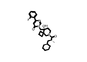 C[C@H](CC1CCCCC1)C(=O)N1CC[C@](O)(Cn2cnc(-c3ccccc3F)cc2=O)C2(CCC2)C1